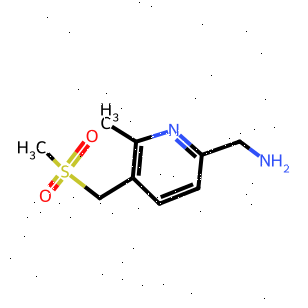 Cc1nc(CN)ccc1CS(C)(=O)=O